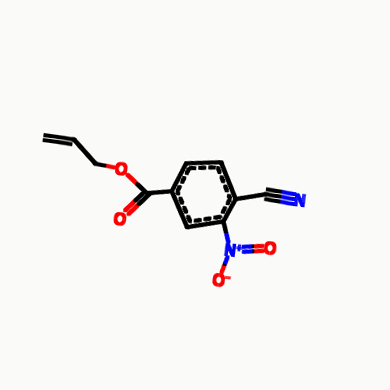 C=CCOC(=O)c1ccc(C#N)c([N+](=O)[O-])c1